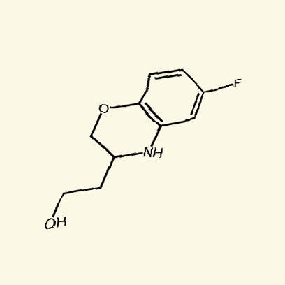 OCCC1COc2ccc(F)cc2N1